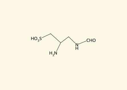 NC(CNC=O)CS(=O)(=O)O